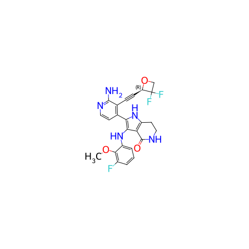 COc1c(F)cccc1Nc1c(-c2ccnc(N)c2C#C[C@H]2OCC2(F)F)[nH]c2c1C(=O)NCC2